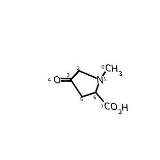 CN1CC(=O)CC1C(=O)O